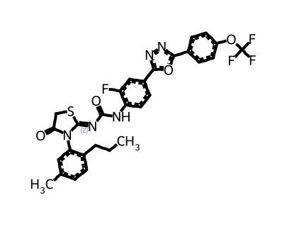 CCCc1ccc(C)cc1N1C(=O)CS/C1=N\C(=O)Nc1ccc(-c2nnc(-c3ccc(OC(F)(F)F)cc3)o2)cc1F